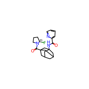 O=C(NC12CC3CC(C1)CC(C(=O)N1CCC[C@H]1F)(C3)C2)c1ccccn1